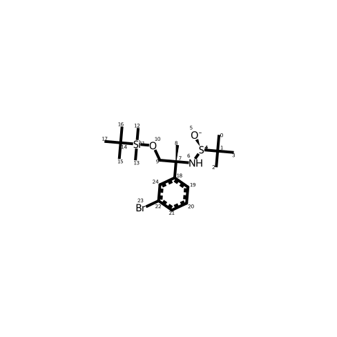 CC(C)(C)[S@+]([O-])N[C@@](C)(CO[Si](C)(C)C(C)(C)C)c1cccc(Br)c1